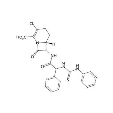 O=C(O)C1=C(Cl)CC[C@@H]2[C@H](NC(=O)C(NC(=S)Nc3ccccc3)c3ccccc3)C(=O)N12